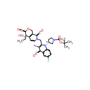 CC[C@@]1(O)C(=C=O)OCC2=C1C=CN(CC1=C(I)C(=C=O)c3cc(F)ccc3N1[C@@H]1CCN(C(=O)OC(C)(C)C)C1)C2=C=O